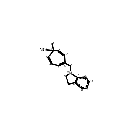 CC1(C#N)C=CC=C(CN2CCc3ccccc32)C=C1